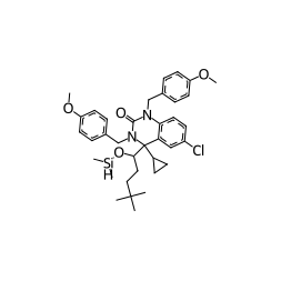 COc1ccc(CN2C(=O)N(Cc3ccc(OC)cc3)C(C3CC3)(C(CCC(C)(C)C)O[SiH](C)C)c3cc(Cl)ccc32)cc1